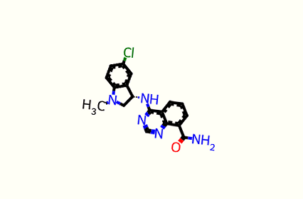 CN1C[C@@H](Nc2ncnc3c(C(N)=O)cccc23)c2cc(Cl)ccc21